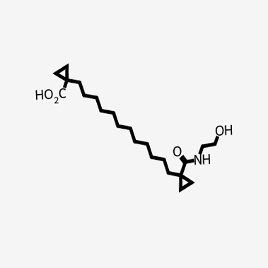 O=C(O)C1(CCCCCCCCCCCCC2(C(=O)NCCO)CC2)CC1